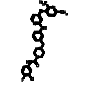 Cc1ccc(Oc2ccnc(Nc3cccc(CN4CCN(C(=O)Nc5ccc(F)c(Cl)c5)CC4)c3)c2)c(C)n1